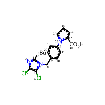 CCCCc1nc(Cl)c(Cl)n1Cc1ccc(-n2cccc2C(=O)O)cc1